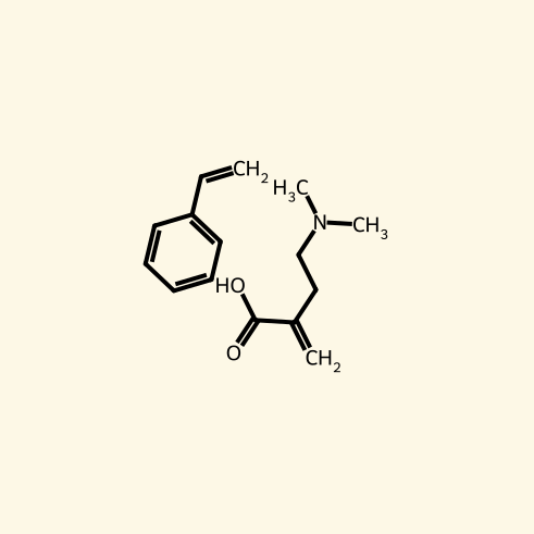 C=C(CCN(C)C)C(=O)O.C=Cc1ccccc1